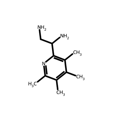 Cc1nc(C(N)CN)c(C)c(C)c1C